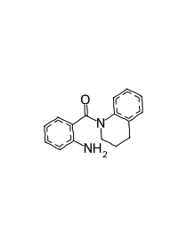 Nc1ccccc1C(=O)N1CCCc2ccccc21